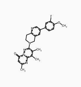 COc1ccc(-c2cnc3c(c2)CN(c2nn4c(=O)cc(C)nc4c(C)c2C)CC3)cc1F